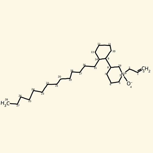 C=CC[N+]1([O-])CCCC(C2CCCCC2CCCCCCCCCCCCCC)C1